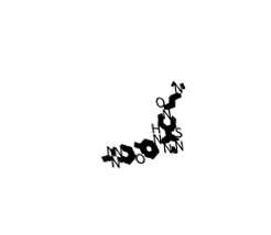 Cc1nc2cc(Oc3ccc(Nc4ncnc5sc6c(c45)CCN(C(=O)/C=C/CN(C)C)C6)cc3C)ccn2n1